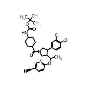 CC(Oc1ccc(C#N)cn1)C1CN(C(=O)C2CCC(NC(=O)OC(C)(C)C)CC2)CC1c1ccc(Cl)c(Cl)c1